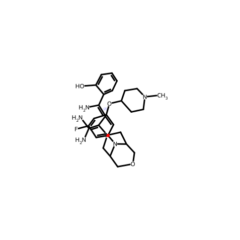 CN1CCC(Oc2cc(F)cc(N3C4COCC3CN(C(/C=C(\N)c3ccccc3O)=C(N)N)C4)c2)CC1